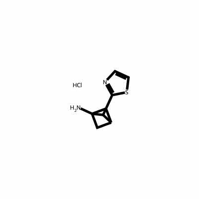 Cl.NC12CC(C1)C2c1nccs1